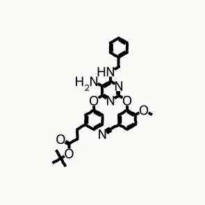 COc1ccc(C#N)cc1Oc1nc(NCc2ccccc2)c(N)c(Oc2cccc(CCC(=O)OC(C)(C)C)c2)n1